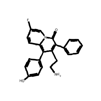 NCCc1c(-c2ccccc2)c(=O)n2cc(F)ccc2c1-c1ccc(O)cc1